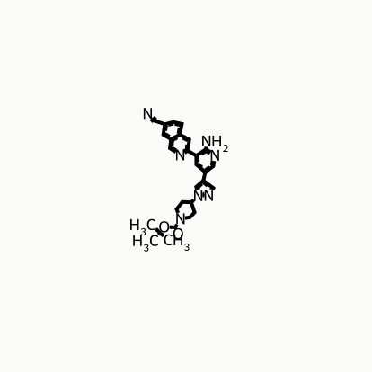 CC(C)(C)OC(=O)N1CCC(n2cc(-c3cnc(N)c(-c4cc5ccc(C#N)cc5cn4)c3)cn2)CC1